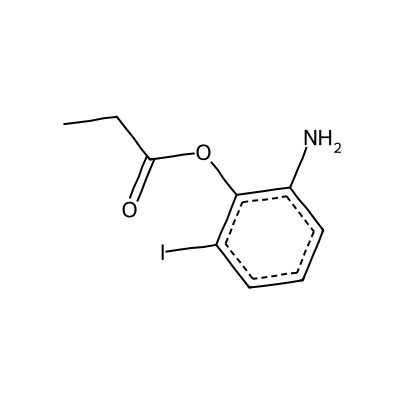 CCC(=O)Oc1c(N)cccc1I